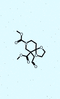 COC(=O)N1CCC2(OCCO2)C(CC=O)(C(=O)OC)C1